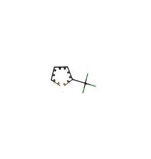 ClC(Cl)(Cl)c1cc[c]s1